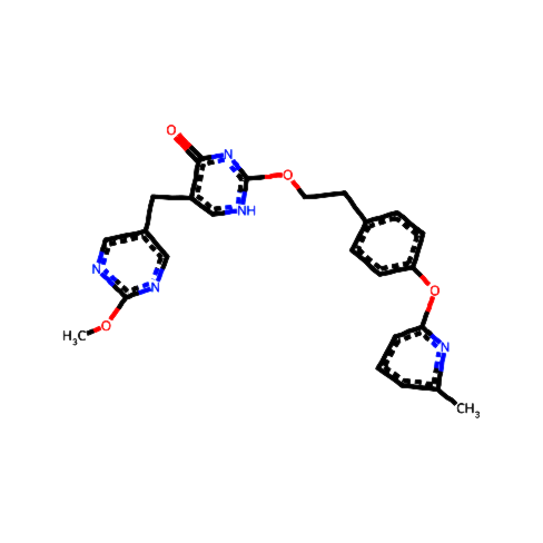 COc1ncc(Cc2c[nH]c(OCCc3ccc(Oc4cccc(C)n4)cc3)nc2=O)cn1